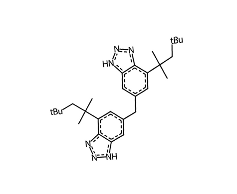 CC(C)(C)CC(C)(C)c1cc(Cc2cc(C(C)(C)CC(C)(C)C)c3nn[nH]c3c2)cc2[nH]nnc12